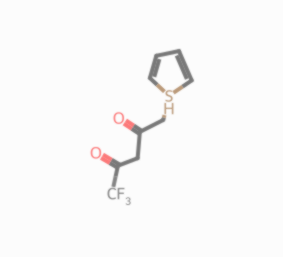 O=C(CC(=O)C(F)(F)F)C[SH]1C=CC=C1